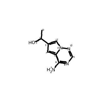 CC(O)c1cc2c(N)ncnn2c1